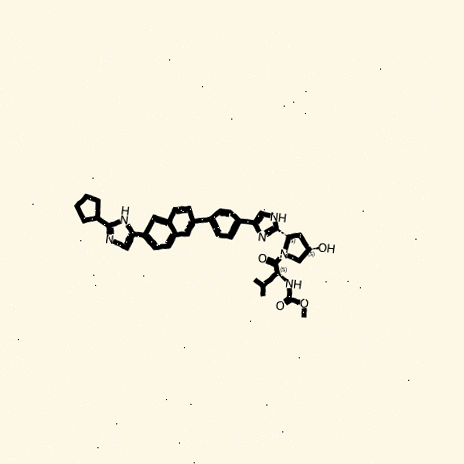 COC(=O)N[C@H](C(=O)N1C[C@@H](O)C[C@H]1c1nc(-c2ccc(-c3ccc4cc(-c5cnc(C6CCCC6)[nH]5)ccc4c3)cc2)c[nH]1)C(C)C